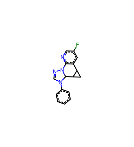 Fc1cnc2c(c1)C1CC1C1N(c3ccccc3)C=NN21